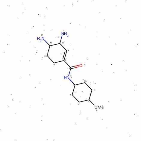 COC1CCC(NC(=O)C2=CC(N)C(N)CC2)CC1